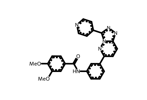 COc1ccc(C(=O)Nc2cccc(-c3ccc4nnc(-c5ccncc5)n4n3)c2)cc1OC